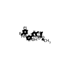 CCOC(=O)C1CN1Cc1ccc(-c2cc(Nc3ccc(Cl)cc3CF)ccc2O)nc1N